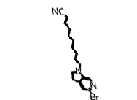 N#CCCCCCCCCCn1ccc2cc(Br)ncc21